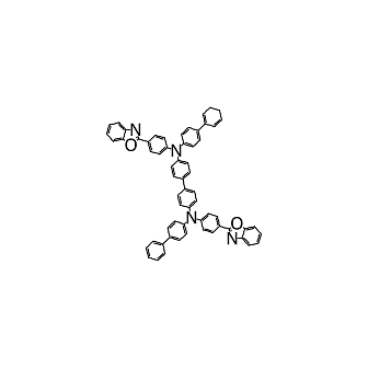 C1=CC(c2ccc(N(c3ccc(-c4ccc(N(c5ccc(-c6ccccc6)cc5)c5ccc(-c6nc7ccccc7o6)cc5)cc4)cc3)c3ccc(-c4nc5ccccc5o4)cc3)cc2)=CCC1